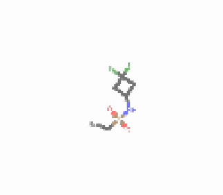 CC(C)(C)CS(=O)(=O)NC1CC(F)(F)C1